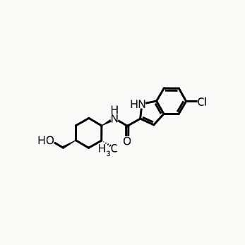 C[C@@H]1C[C@@H](CO)CC[C@H]1NC(=O)c1cc2cc(Cl)ccc2[nH]1